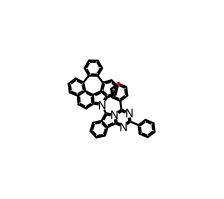 c1ccc(-c2nc(-c3ccccc3)n3c(-n4c5cccc6c5c5c7c(cccc7ccc54)-c4ccccc4-6)c4ccccc4c3n2)cc1